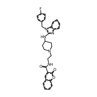 O=C(NCCN1CCC(Nc2nc3ccccc3n2Cc2ccc(F)cc2)CC1)c1cc2ccccc2oc1=O